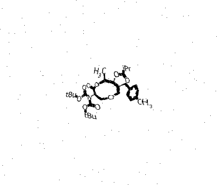 Cc1ccc(C[C@H]2COC[C@H](N(C(=O)OC(C)(C)C)C(=O)OC(C)(C)C)C(=O)O[C@@H](C)[C@@H]2OC(=O)C(C)C)cc1